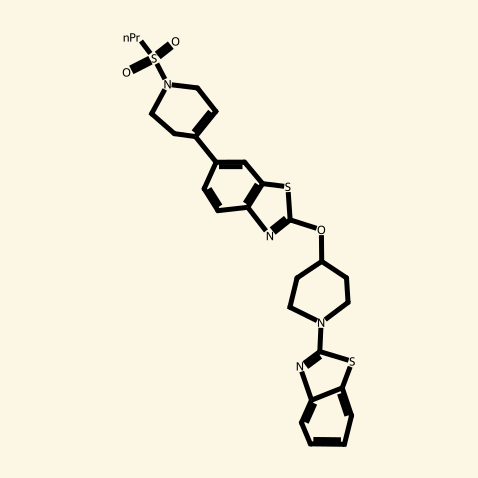 CCCS(=O)(=O)N1CC=C(c2ccc3nc(OC4CCN(c5nc6ccccc6s5)CC4)sc3c2)CC1